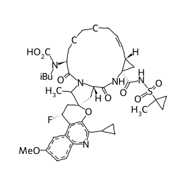 CCC(C)N(C(=O)O)[C@H]1CCCCC/C=C\[C@@H]2C[C@@]2(C(=O)NS(=O)(=O)C2(C)CC2)NC(=O)[C@@H]2C[C@]3(C[C@@H](F)c4c(c(C5CC5)nc5ccc(OC)cc45)O3)C(C)N2C1=O